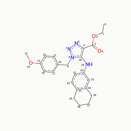 CCOC(=O)c1nnn(Cc2ccc(OC)cc2)c1Nc1ccc2c(c1)CCCC2